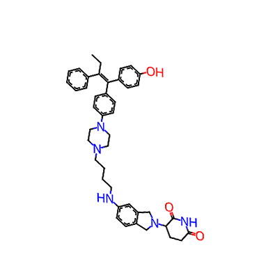 CCC(=C(c1ccc(O)cc1)c1ccc(N2CCN(CCCCNc3ccc4c(c3)CN(C3CCC(=O)NC3=O)C4)CC2)cc1)c1ccccc1